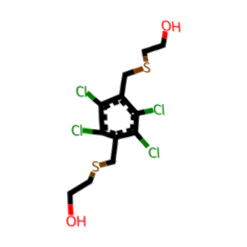 OCCSCc1c(Cl)c(Cl)c(CSCCO)c(Cl)c1Cl